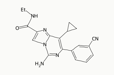 CCNC(=O)c1cn2c(N)nc(-c3cccc(C#N)c3)c(C3CC3)c2n1